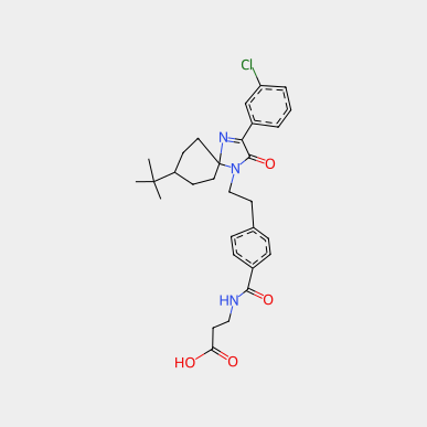 CC(C)(C)C1CCC2(CC1)N=C(c1cccc(Cl)c1)C(=O)N2CCc1ccc(C(=O)NCCC(=O)O)cc1